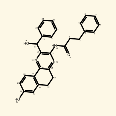 O=C(CCc1ccccc1)Nc1nc2c(nc1C(O)c1ccccc1)-c1ccc(O)cc1CC2